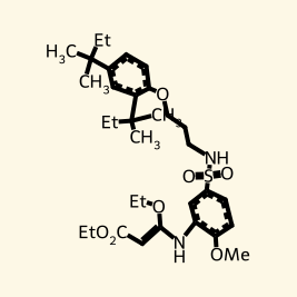 CCOC(=O)/C=C(/Nc1cc(S(=O)(=O)NCCCOc2ccc(C(C)(C)CC)cc2C(C)(C)CC)ccc1OC)OCC